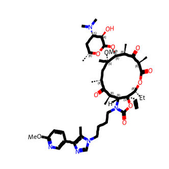 C=C[C@]12OC(=O)N(CCCCn3cnc(-c4ccc(OC)nc4)c3C)[C@@H]1[C@@H](C)C(=O)[C@H](C)C[C@](C)(OC)[C@H](OC1O[C@H](C)C[C@H](N(C)C)[C@H]1O)[C@@H](C)C(=O)[C@@H](C)C(=O)O[C@@H]2CC